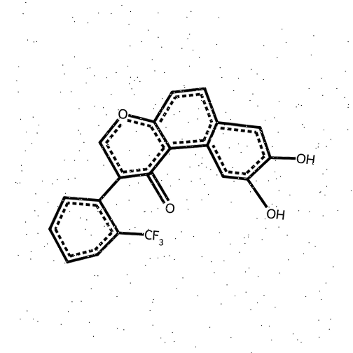 O=c1c(-c2ccccc2C(F)(F)F)coc2ccc3cc(O)c(O)cc3c12